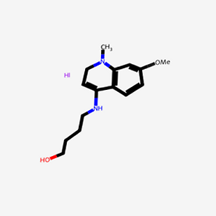 COc1ccc2c(c1)N(C)CC=C2NCCCCO.I